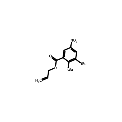 C=CCOC(=O)c1cc([N+](=O)[O-])cc(C(C)(C)C)c1C(C)(C)C